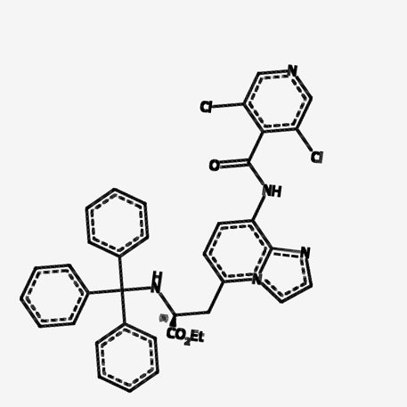 CCOC(=O)[C@H](Cc1ccc(NC(=O)c2c(Cl)cncc2Cl)c2nccn12)NC(c1ccccc1)(c1ccccc1)c1ccccc1